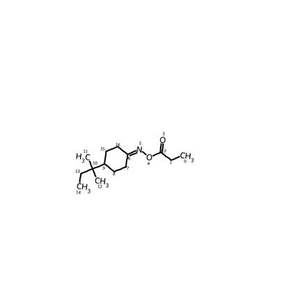 CCC(=O)ON=C1CCC(C(C)(C)CC)CC1